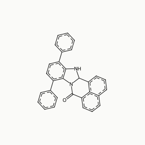 O=C1c2cccc3cccc(c23)C2Nc3c(-c4ccccc4)ccc(-c4ccccc4)c3N12